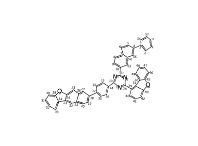 c1ccc(-c2ccc3ccc(-c4nc(-c5ccc(-c6ccc7cc8c(cc7c6)oc6ccccc68)cc5)nc(-c5cccc6oc7ccccc7c56)n4)cc3c2)cc1